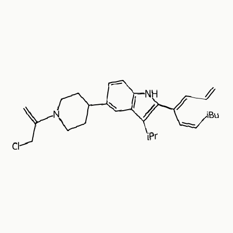 C=C/C=C(\C=C/C(C)CC)c1[nH]c2ccc(C3CCN(C(=C)CCl)CC3)cc2c1C(C)C